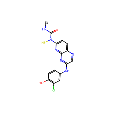 CCNC(=O)N(S)c1ccc2ncc(Nc3ccc(O)c(Cl)c3)nc2n1